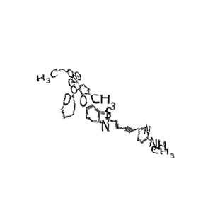 CCCOS(=O)(=O)c1ccc(C)c(Oc2ccc3nc(C=CC#Cc4ccc(NC)nc4)sc3c2)c1OC1CCCCO1